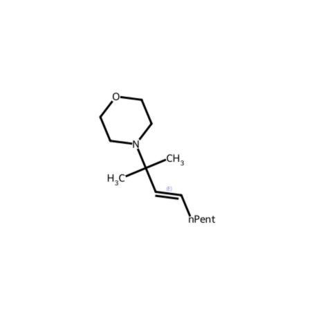 CCCCC/C=C/C(C)(C)N1CCOCC1